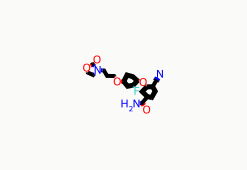 N#Cc1ccc(C(N)=O)cc1Oc1ccc(OCCCN2CCOC2=O)cc1F